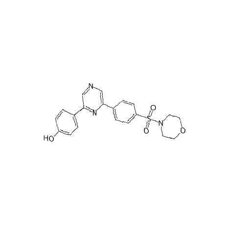 O=S(=O)(c1ccc(-c2cncc(-c3ccc(O)cc3)n2)cc1)N1CCOCC1